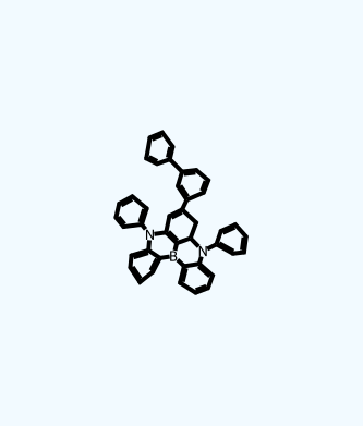 C1=C(c2cccc(-c3ccccc3)c2)CC2C3=C1N(c1ccccc1)c1ccccc1B3c1ccccc1N2c1ccccc1